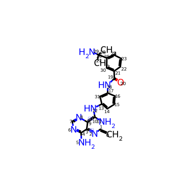 C=C/N=C1/C(N)=NC=N/C1=C(/N)Nc1cccc(NC(=O)c2cccc(C(C)(C)N)c2)c1